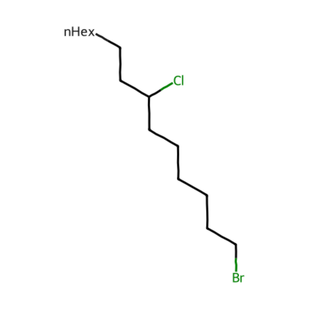 CCCCCCCCC(Cl)CCCCCCBr